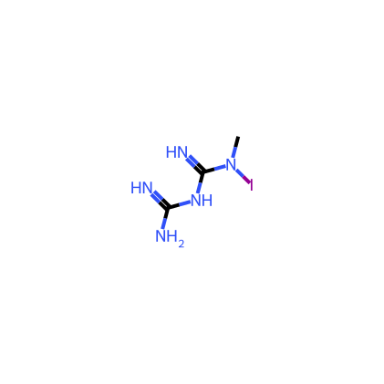 CN(I)C(=N)NC(=N)N